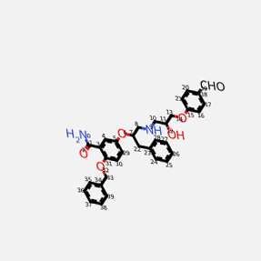 NC(=O)c1cc(OC(CNCC(O)COc2ccc(C=O)cc2)Cc2ccccc2)ccc1OCc1ccccc1